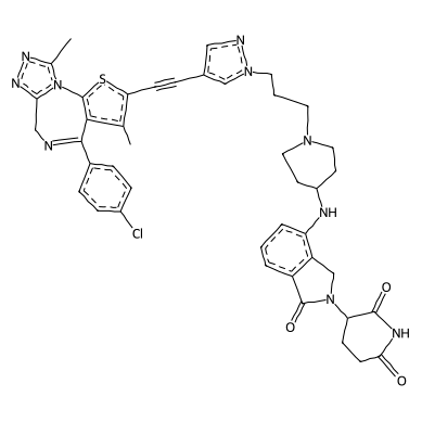 Cc1c(C#Cc2cnn(CCCN3CCC(Nc4cccc5c4CN(C4CCC(=O)NC4=O)C5=O)CC3)c2)sc2c1C(c1ccc(Cl)cc1)=NCc1nnc(C)n1-2